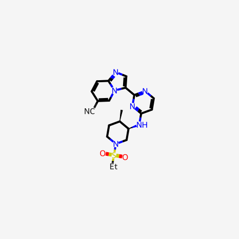 CCS(=O)(=O)N1CC[C@@H](C)[C@@H](Nc2ccnc(-c3cnc4ccc(C#N)cn34)n2)C1